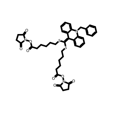 O=C(CCCCCSC(SCCCCCC(=O)ON1C(=O)CCC1=O)=C1c2ccccc2N(Cc2ccccc2)c2ccccc21)ON1C(=O)CCC1=O